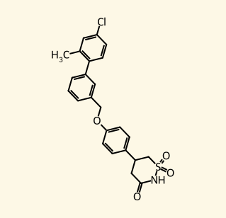 Cc1cc(Cl)ccc1-c1cccc(COc2ccc(C3CC(=O)NS(=O)(=O)C3)cc2)c1